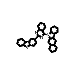 c1ccc2cc3c(cc2c1)c1ccccc1n3-c1nc(-c2ccc3sc4ccccc4c3c2)nc2ccccc12